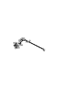 [N-]=[N+]=NCCCCCCCCCCCCCCCC(=O)NCCCC#Cc1cn([C@H]2C[C@@H](O)[C@@H](COP(=O)(O)OP(=O)(O)OP(=O)(O)O)O2)c(=O)nc1N